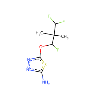 CC(C)(C(F)F)C(F)Oc1nnc(N)s1